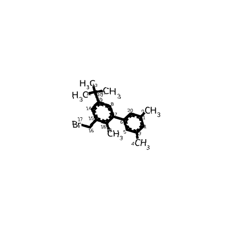 Cc1cc(C)cc(-c2cc(C(C)(C)C)cc(CBr)c2C)c1